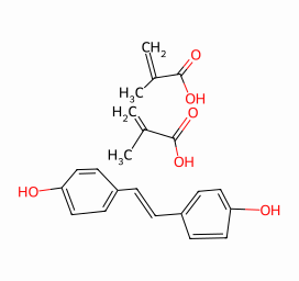 C=C(C)C(=O)O.C=C(C)C(=O)O.Oc1ccc(C=Cc2ccc(O)cc2)cc1